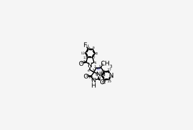 C/C(=C/C1(CN2Cc3ccc(F)cc3C2=O)NC(=O)NC1=O)c1cccnc1